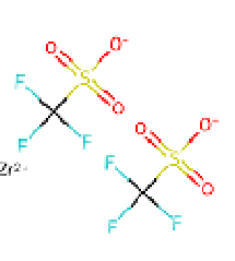 O=S(=O)([O-])C(F)(F)F.O=S(=O)([O-])C(F)(F)F.[Zr+2]